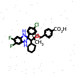 CC(C)(OCc1ccc(C(=O)O)cc1)C(C1CCCCC1)C1(c2ccc(Cl)cc2)Nc2cc(F)c(F)cc2N1